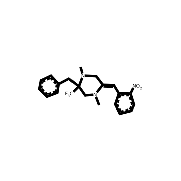 CN1CC(Cc2ccccc2)(C(F)(F)F)N(C)CC1=Cc1ccccc1[N+](=O)[O-]